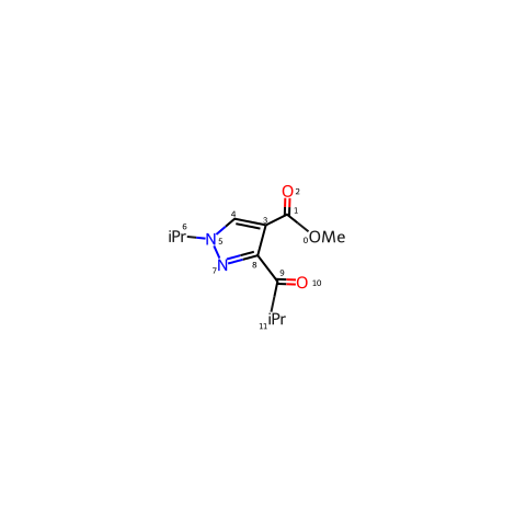 COC(=O)c1cn(C(C)C)nc1C(=O)C(C)C